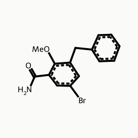 COc1c(Cc2ccccc2)cc(Br)cc1C(N)=O